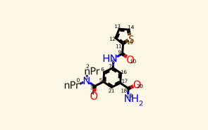 CCCN(CCC)C(=O)c1cc(NC(=O)c2cccs2)cc(C(N)=O)c1